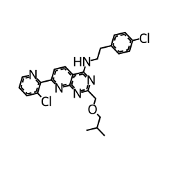 CC(C)COCc1nc(NCCc2ccc(Cl)cc2)c2ccc(-c3ncccc3Cl)nc2n1